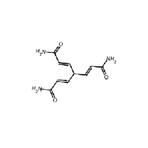 NC(=O)C=CC(C=CC(N)=O)C=CC(N)=O